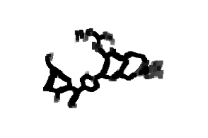 CC(C)Nc1nc2c(nc1N1CCC(C(=O)c3cc(Cl)ccc3F)CC1)CN(C)CC2